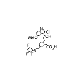 COc1ccc2ncc(Cl)c([C@H](O)CCC3CCN(CCSc4cc(F)cc(F)c4F)CC3CC(=O)O)c2c1